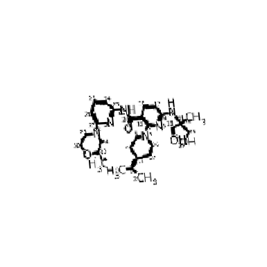 CC(C)=C1CCN(c2nc(NC(C)(CO)CO)ccc2C(=O)Nc2cccc(N3CCO[C@H](C)C3)n2)CC1